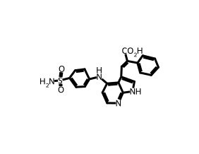 NS(=O)(=O)c1ccc(Nc2ccnc3[nH]cc(/C=C(/C(=O)O)c4ccccc4)c23)cc1